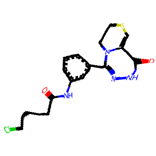 O=C(CCCCl)Nc1cccc(C2=NNC(=O)C3=CSCCN32)c1